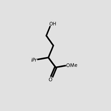 COC(=O)C(CCO)C(C)C